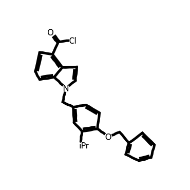 CC(C)c1cc(Cn2ccc3c(C(=O)Cl)cccc32)ccc1OCc1ccccc1